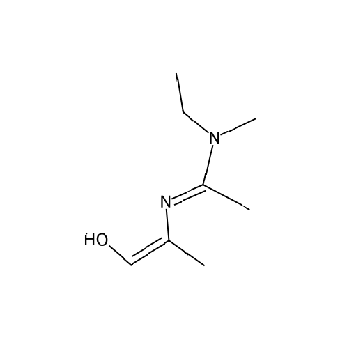 CCN(C)/C(C)=N/C(C)=C\O